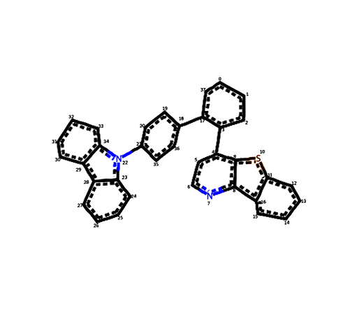 c1ccc(-c2ccnc3c2sc2ccccc23)c(-c2ccc(-n3c4ccccc4c4ccccc43)cc2)c1